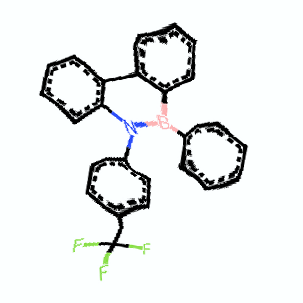 FC(F)(F)c1ccc(N2B(c3ccccc3)c3ccccc3-c3ccccc32)cc1